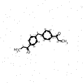 CCC(=O)c1ccc(Cc2ccc(C(=O)CC)cc2)cc1